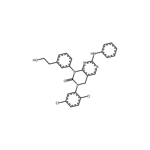 O=C1N(c2cc(Cl)ccc2Cl)Cc2cnc(Nc3ccccc3)nc2N1c1cccc(CCO)c1